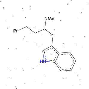 CNC(CCC(C)C)Cc1c[nH]c2ccccc12